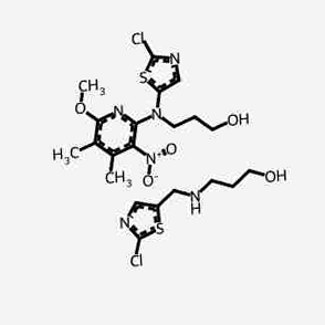 COc1nc(N(CCCO)c2cnc(Cl)s2)c([N+](=O)[O-])c(C)c1C.OCCCNCc1cnc(Cl)s1